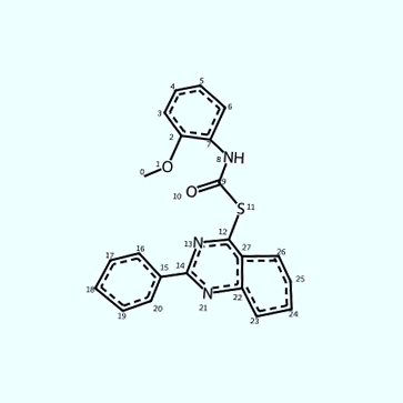 COc1ccccc1NC(=O)Sc1nc(-c2ccccc2)nc2ccccc12